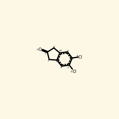 O=C1Cc2cc(Cl)c(Cl)cc2C1